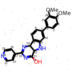 COc1ccc(-c2ccc3c(c2)NC2C(O)=NC(c4ccncc4)=NC32)cc1OC